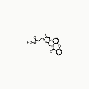 CC1=C=NC(CN2C(=O)c3ccccc3Oc3ccccc32)=CN1CCC(=O)NO